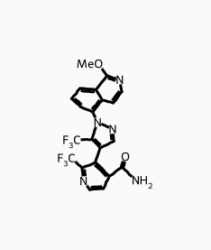 COc1nccc2c(-n3ncc(-c4c(C(N)=O)ccnc4C(F)(F)F)c3C(F)(F)F)cccc12